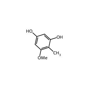 COc1cc(O)cc(O)c1C